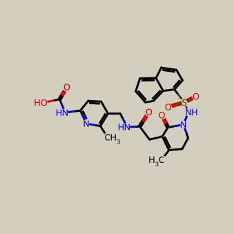 CC1=C(CC(=O)NCc2ccc(NC(=O)O)nc2C)C(=O)N(NS(=O)(=O)c2cccc3ccccc23)CC1